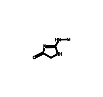 [N]NC1=NC(=O)CN1